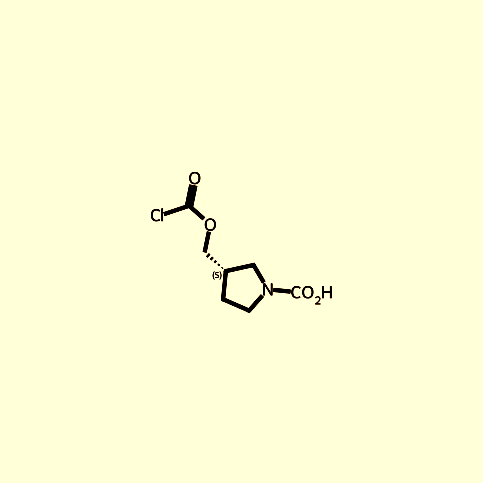 O=C(Cl)OC[C@H]1CCN(C(=O)O)C1